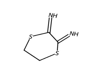 N=C1SCCSC1=N